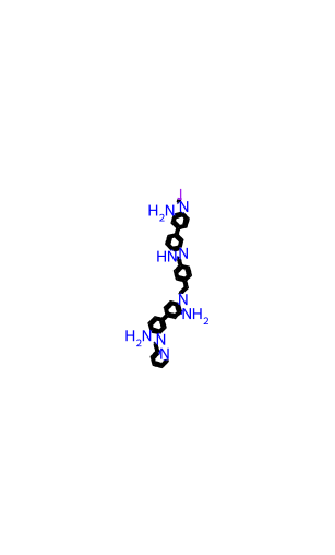 Nc1cc(-c2ccc(N)c(/N=C/c3ccccn3)c2)ccc1/N=C/Cc1ccc(-c2nc3cc(-c4ccc(/N=C/I)c(N)c4)ccc3[nH]2)cc1